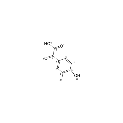 Cc1cc(C(=O)C(=O)O)ccc1O